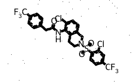 O=C(Cc1ccc(C(F)(F)F)cc1)Nc1c(Cl)ccc2c1CCN(S(=O)(=O)c1ccc(C(F)(F)F)cc1Cl)C2